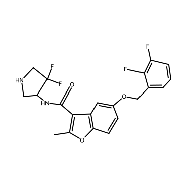 Cc1oc2ccc(OCc3cccc(F)c3F)cc2c1C(=O)NC1CNCC1(F)F